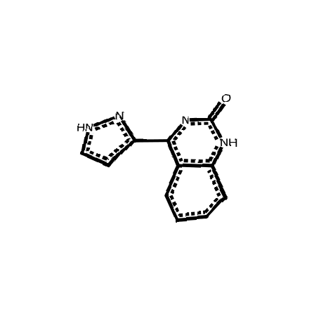 O=c1nc(-c2cc[nH]n2)c2ccccc2[nH]1